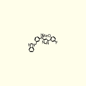 COc1ccc(F)cc1-c1cc(Nc2cccc(Cn3cnc4ccccc43)c2)ncn1